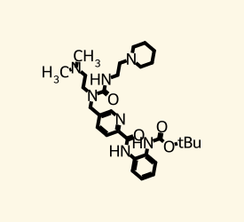 CN(C)CCN(Cc1ccc(C(=O)Nc2ccccc2NC(=O)OC(C)(C)C)nc1)C(=O)NCCN1CCCCC1